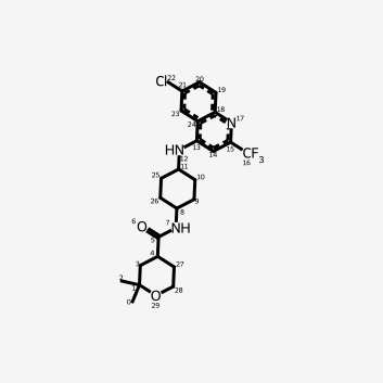 CC1(C)CC(C(=O)NC2CCC(Nc3cc(C(F)(F)F)nc4ccc(Cl)cc34)CC2)CCO1